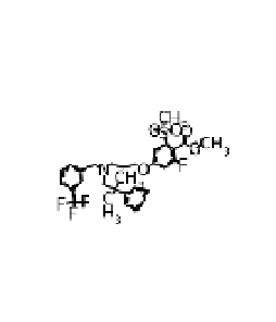 COC(=O)c1c(F)cc(OCCCN(Cc2cccc(C(F)(F)F)c2)CC(C)(C)c2ccccc2)cc1S(C)(=O)=O